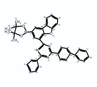 CC1(C)OB(c2cc(-c3nc(-c4ccccc4)nc(-c4ccc(-c5ccccc5)cc4)n3)c3oc4ccccc4c3c2)OC1(C)C